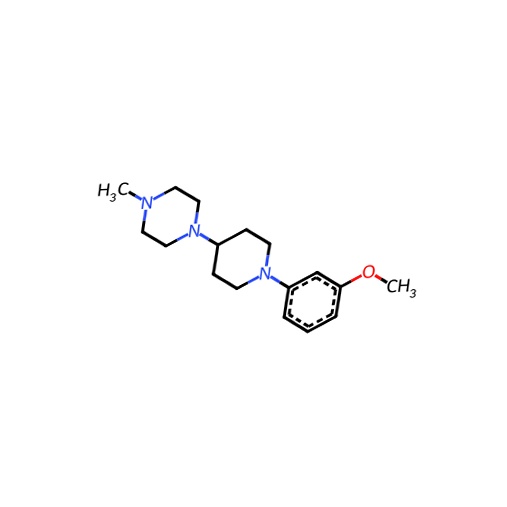 COc1cccc(N2CCC(N3CCN(C)CC3)CC2)c1